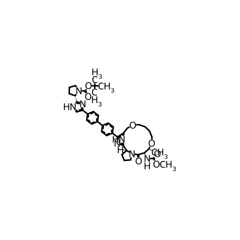 COC(=O)N[C@@H]1C(=O)N2CCC[C@H]2c2nc(-c3ccc(-c4ccc(-c5c[nH]c([C@@H]6CCCN6C(=O)OC(C)(C)C)n5)cc4)cc3)c([nH]2)COCCCCO[C@@H]1C